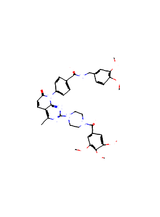 COc1ccc(CNC(=O)c2ccc(-n3c(=O)ccc4c(C)nc(N5CCN(C(=O)c6cc(OC)c(OC)c(OC)c6)CC5)nc43)cc2)cc1OC